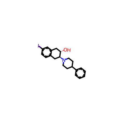 O[C@H]1Cc2cc(I)ccc2C[C@@H]1N1CCC(c2ccccc2)CC1